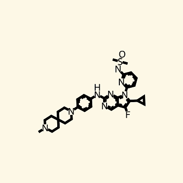 CN1CCC2(CC1)CCN(c1ccc(Nc3ncc4c(F)c(C5CC5)n(-c5cccc(N=S(C)(C)=O)n5)c4n3)cc1)CC2